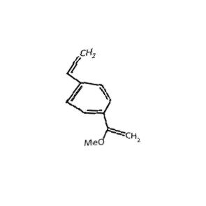 C=Cc1ccc(C(=C)OC)cc1